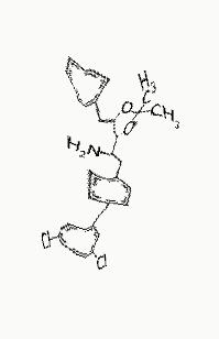 CC1(C)OC(Cc2ccccc2)[C@@H]([C@H](N)Cc2ccc(-c3cc(Cl)cc(Cl)c3)cc2)O1